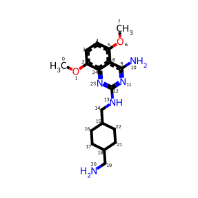 COc1ccc(OC)c2c(N)nc(NCC3CCC(CN)CC3)nc12